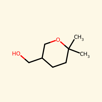 CC1(C)CCC(CO)CO1